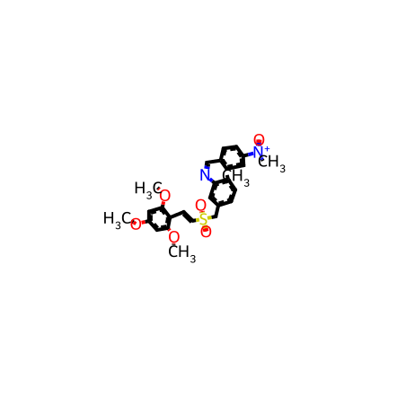 COc1cc(OC)c(/C=C/S(=O)(=O)Cc2ccc(C)c(/N=C\c3ccc([N+](C)=O)cc3)c2)c(OC)c1